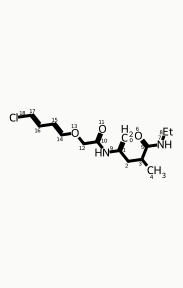 C=C(CC(C)C(=O)NCC)NC(=O)CO/C=C/C=C/Cl